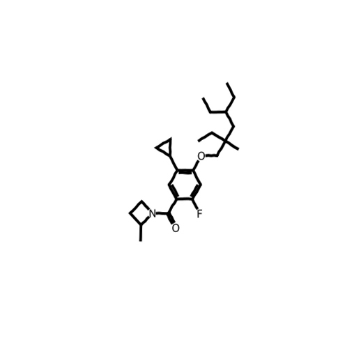 CCC(CC)CC(C)(CC)COc1cc(F)c(C(=O)N2CCC2C)cc1C1CC1